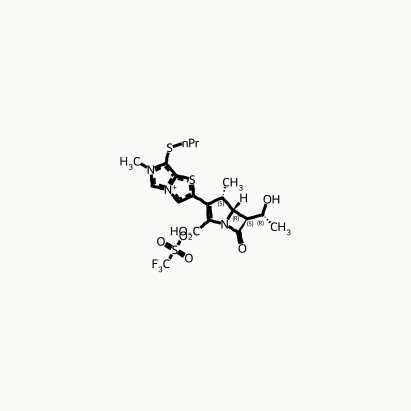 CCCSc1c2sc(C3=C(C(=O)O)N4C(=O)[C@H]([C@@H](C)O)[C@H]4[C@H]3C)c[n+]2cn1C.O=S(=O)([O-])C(F)(F)F